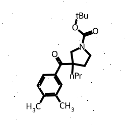 CCCC1(C(=O)c2ccc(C)c(C)c2)CCN(C(=O)OC(C)(C)C)C1